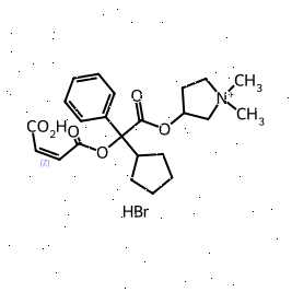 Br.C[N+]1(C)CCC(OC(=O)C(OC(=O)/C=C\C(=O)O)(c2ccccc2)C2CCCC2)C1